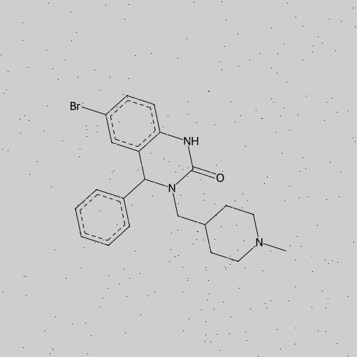 CN1CCC(CN2C(=O)Nc3ccc(Br)cc3C2c2ccccc2)CC1